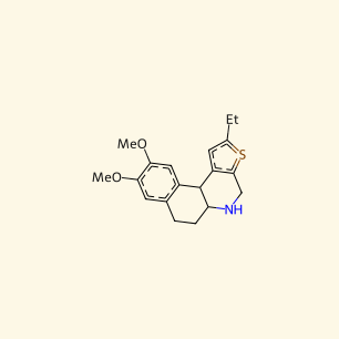 CCc1cc2c(s1)CNC1CCc3cc(OC)c(OC)cc3C21